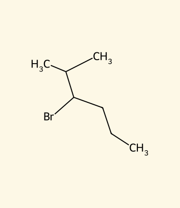 CCCC(Br)C(C)C